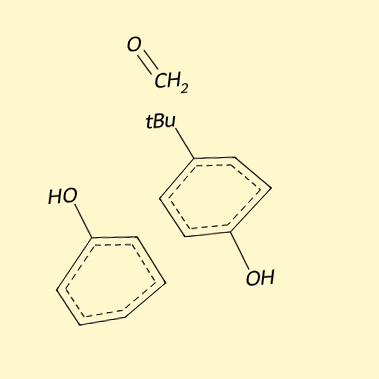 C=O.CC(C)(C)c1ccc(O)cc1.Oc1ccccc1